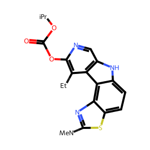 CCc1c(OC(=O)OC(C)C)ncc2[nH]c3ccc4sc(NC)nc4c3c12